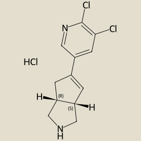 Cl.Clc1cc(C2=C[C@@H]3CNC[C@@H]3C2)cnc1Cl